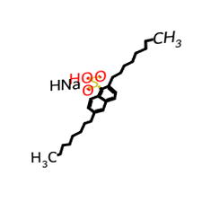 CCCCCCCCc1ccc2c(S(=O)(=O)O)c(CCCCCCCC)ccc2c1.[NaH]